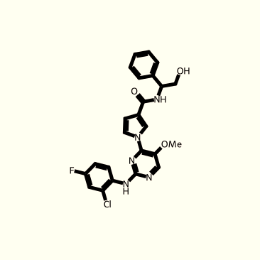 COc1cnc(Nc2ccc(F)cc2Cl)nc1-n1ccc(C(=O)NC(CO)c2ccccc2)c1